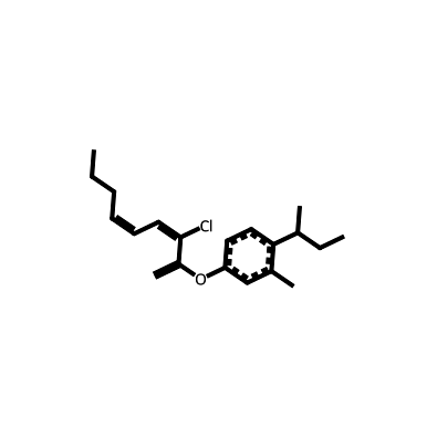 C=C(Oc1ccc(C(C)CC)c(C)c1)/C(Cl)=C\C=C/CCC